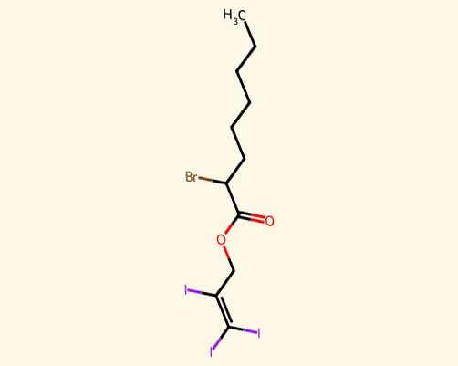 CCCCCCC(Br)C(=O)OCC(I)=C(I)I